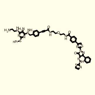 CCCSc1nc(NCCN)c(N)c(N(N)Cc2ccc(C#CC(=O)NCCOCCNC(=O)c3ccc(-c4csc(N5N=C(c6ccccc6)/C(=N\Nc6nccs6)C5=O)n4)cc3)cc2)n1